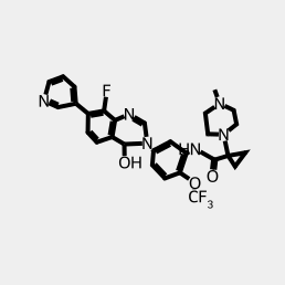 CN1CCN(C2(C(=O)Nc3cc(N4C=Nc5c(ccc(-c6cccnc6)c5F)C4O)ccc3OC(F)(F)F)CC2)CC1